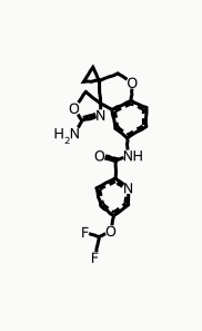 NC1=NC2(CO1)c1cc(NC(=O)c3ccc(OC(F)F)cn3)ccc1OCC21CC1